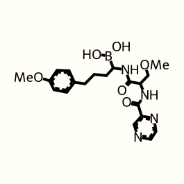 COCC(NC(=O)c1cnccn1)C(=O)NC(CCCc1ccc(OC)cc1)B(O)O